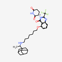 CC(NCCCCCCCOc1cccc2nc(C(F)(F)F)n([C@H]3CCC(=O)NC3=O)c(=O)c12)C12CC3CC(CC(C3)C1)C2